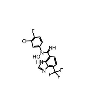 N=C(c1ccc(C(F)(F)F)c2nc[nH]c12)N(O)c1ccc(F)c(Cl)c1